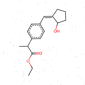 CCOC(=O)C(C)c1ccc(/C=C2/CCCC2O)cc1